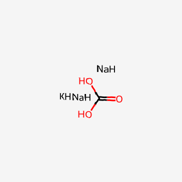 O=C(O)O.[KH].[NaH].[NaH]